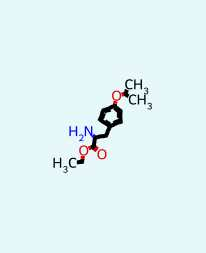 CCOC(=O)C(N)Cc1ccc(OC(C)C)cc1